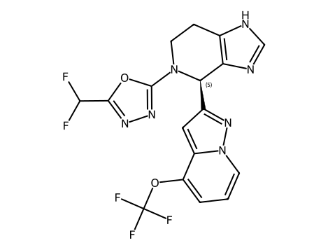 FC(F)c1nnc(N2CCc3[nH]cnc3[C@H]2c2cc3c(OC(F)(F)F)cccn3n2)o1